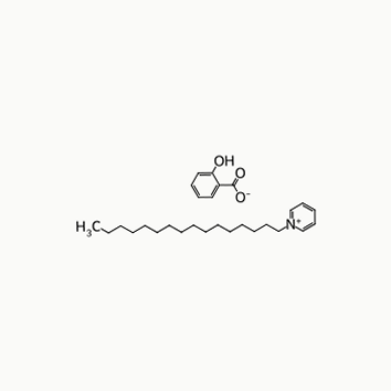 CCCCCCCCCCCCCCCC[n+]1ccccc1.O=C([O-])c1ccccc1O